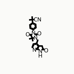 CC(C)(C#N)c1ccc(N2C(=O)N(Cc3ccnc4c3CC(=O)N4)C(C)(C)C2=O)cc1